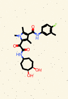 Cc1cc(NC(=O)c2c(C)c(C(=O)C(=O)NC3CC[C@@H](O)[C@@H](O)CC3)n(C)c2C)ccc1F